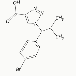 CC(C)C(c1ccc(Br)cc1)n1cc(C(=O)O)nn1